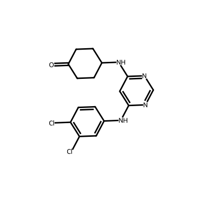 O=C1CCC(Nc2cc(Nc3ccc(Cl)c(Cl)c3)ncn2)CC1